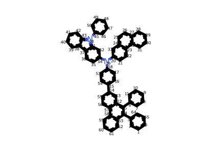 c1ccc(-c2c(-c3ccccc3)c3cc(-c4ccc(N(c5ccc6c(ccc7ccccc76)c5)c5ccc6c7ccccc7n(-c7ccccc7)c6c5)cc4)ccc3c3ccccc23)cc1